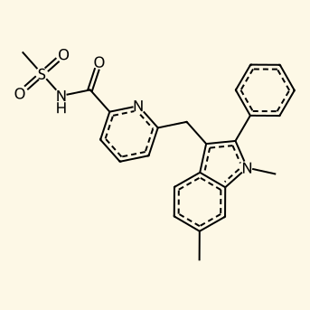 Cc1ccc2c(Cc3cccc(C(=O)NS(C)(=O)=O)n3)c(-c3ccccc3)n(C)c2c1